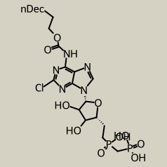 CCCCCCCCCCCCOC(=O)Nc1nc(Cl)nc2c1ncn2[C@@H]1O[C@H](CCP(=O)(O)CP(=O)(O)O)C(O)C1O